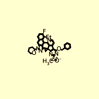 CCc1c(F)ccc2cc3c(cnn3C3CCCCO3)c(-c3nccc4c3C3(CC3)c3nc([S+](C)[O-])nc(OCc5ccccc5)c3-4)c12